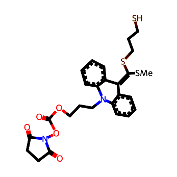 CSC(SCCCS)=C1c2ccccc2N(CCCOC(=O)ON2C(=O)CCC2=O)c2ccccc21